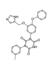 Cc1cccc(-n2c(=O)[nH]c(=O)n(-c3ccc(Oc4ccccc4)c(OCc4cnc[nH]4)c3)c2=O)c1